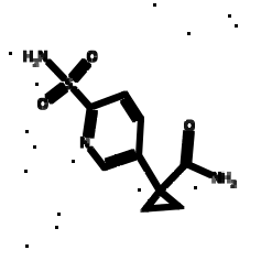 NC(=O)C1(c2ccc(S(N)(=O)=O)nc2)CC1